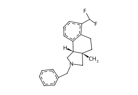 C[C@]12CCc3c(C(F)F)cccc3[C@H]1CN(Cc1ccccc1)C2